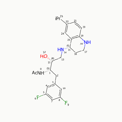 CC(=O)N[C@@H](Cc1cc(F)cc(F)c1)[C@H](O)CN[C@H]1CCNc2ccc(C(C)C)cc21